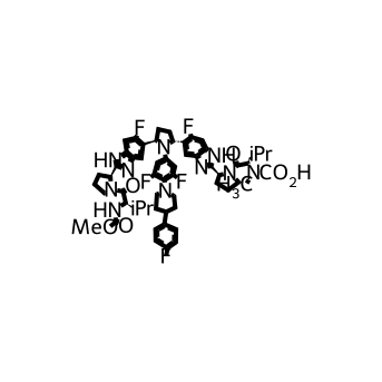 COC(=O)N[C@H](C(=O)N1CCC[C@H]1c1nc2cc([C@H]3CC[C@H](c4cc5nc([C@@H]6CCCN6C(=O)[C@H](C(C)C)N(C)C(=O)O)[nH]c5cc4F)N3c3cc(F)c(N4CCC(c5ccc(F)cc5)CC4)c(F)c3)c(F)cc2[nH]1)C(C)C